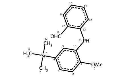 COc1ccc([Si](C)(C)C)cc1Pc1ccccc1C=O